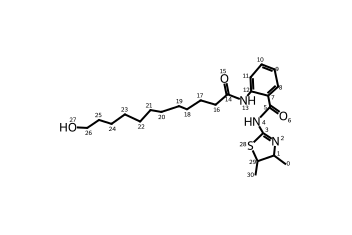 CC1N=C(NC(=O)c2ccccc2NC(=O)CCCCCCCCCCCO)SC1C